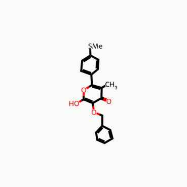 CSc1ccc(-c2oc(O)c(OCc3ccccc3)c(=O)c2C)cc1